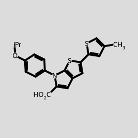 Cc1csc(-c2cc3cc(C(=O)O)n(-c4ccc(OC(C)C)cc4)c3s2)c1